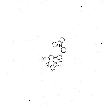 N#Cc1ccc(-c2cccc(-c3cccc(-n4c5ccccc5c5ccccc54)c3)c2)c(-n2c3c(c4ccccc42)CCC=C3)c1C#N